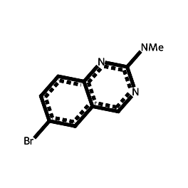 CNc1ncc2cc(Br)ccc2n1